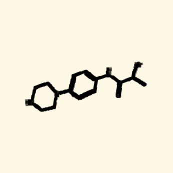 CC(Br)C(=O)Nc1ccc(N2CCNCC2)cc1